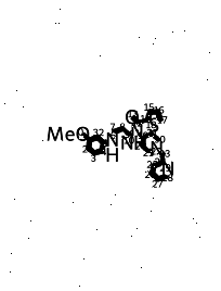 COc1cccc(N/C=C\C(=N)N(C(=O)c2cccs2)C2CCN(Cc3ccccn3)CC2)c1